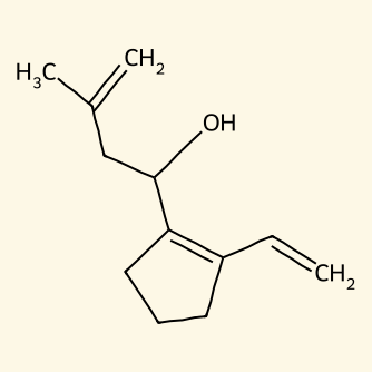 C=CC1=C(C(O)CC(=C)C)CCC1